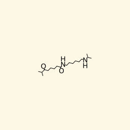 CC(C)NCCCCCCNC(=O)CCCCC(=O)C(C)C